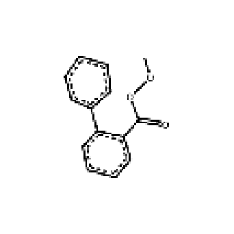 [CH2]OOC(=O)c1ccccc1-c1ccccc1